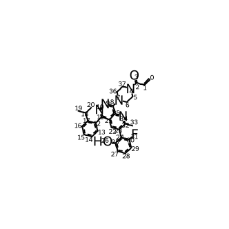 C=CC(=O)N1CCN(c2nnc(-c3ccccc3C(C)C)c3cc(-c4c(O)cccc4F)c(C)nc23)CC1